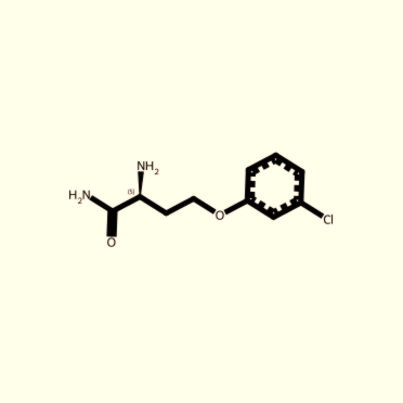 NC(=O)[C@@H](N)CCOc1cccc(Cl)c1